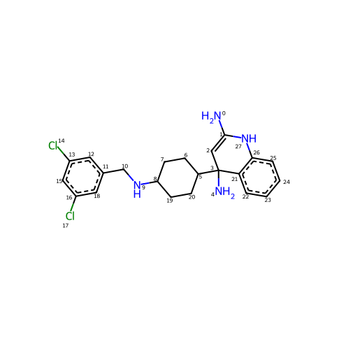 NC1=CC(N)(C2CCC(NCc3cc(Cl)cc(Cl)c3)CC2)c2ccccc2N1